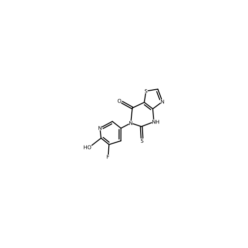 O=c1c2scnc2[nH]c(=S)n1-c1cnc(O)c(F)c1